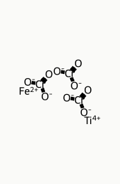 [Fe+2].[O]=[Cr]([O-])[O-].[O]=[Cr]([O-])[O-].[O]=[Cr]([O-])[O-].[Ti+4]